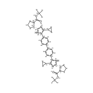 CC(C)(C)OC(=O)N1CCC[C@H]1c1nc(C2CC2)c(-c2ccc(-c3ccc(-c4[nH]c([C@@H]5CCCN5C(=O)OC(C)(C)C)nc4C4CC4)cc3)cc2)[nH]1